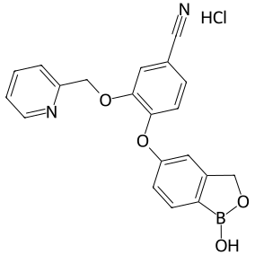 Cl.N#Cc1ccc(Oc2ccc3c(c2)COB3O)c(OCc2ccccn2)c1